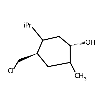 CC(C)C1C[C@H](O)C(C)C[C@H]1CCl